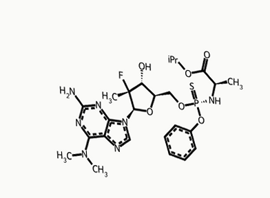 CC(C)OC(=O)[C@@H](C)N[P@@](=S)(OC[C@H]1O[C@@H](n2cnc3c(N(C)C)nc(N)nc32)[C@](C)(F)[C@@H]1O)Oc1ccccc1